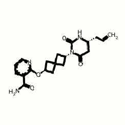 C=CC[C@@H]1CC(=O)N([C@H]2CC3(C[C@H](Oc4ncccc4C(N)=O)C3)C2)C(=O)N1